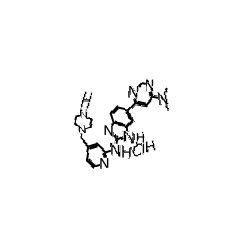 CN(C)c1cc(-c2ccc3nc(Nc4cc(CN5CCNCC5)ccn4)[nH]c3c2)ncn1.Cl